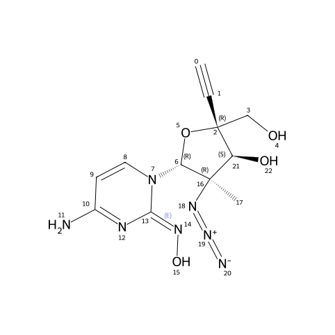 C#C[C@]1(CO)O[C@@H](n2ccc(N)n/c2=N\O)[C@](C)(N=[N+]=[N-])[C@@H]1O